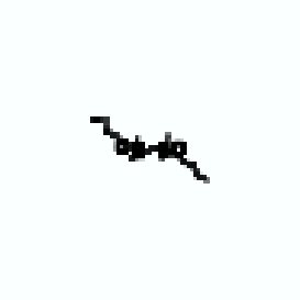 CCCCO[Si](C)(C)CC[Si](C)(C)OCCCC